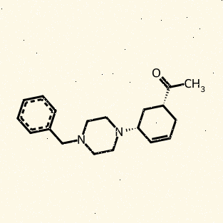 CC(=O)[C@@H]1CC=C[C@H](N2CCN(Cc3ccccc3)CC2)C1